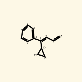 C=CC=C(c1ccccc1)C1CC1